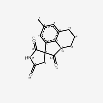 Cc1cc2c3c(c1)C1(CC(=O)NC1=O)C(=O)N3CCC2